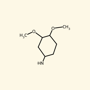 COC1CCC([NH])CC1OC